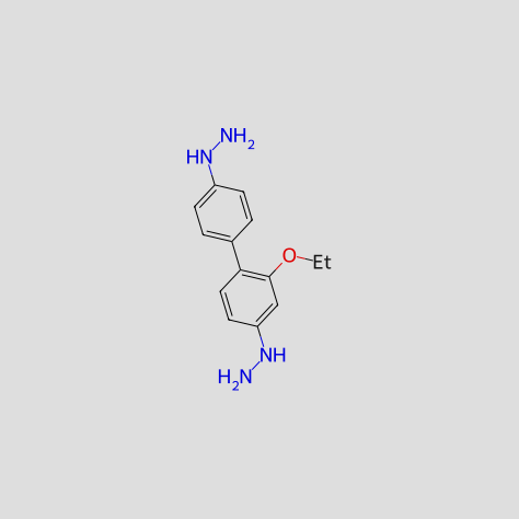 CCOc1cc(NN)ccc1-c1ccc(NN)cc1